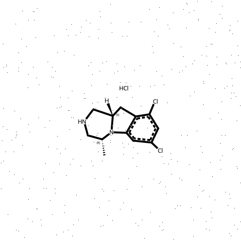 C[C@@H]1CNC[C@@H]2Cc3c(Cl)cc(Cl)cc3N21.Cl